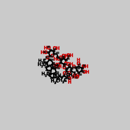 C[C@H](CC[C@@H](O[C@@H]1O[C@H](CO)[C@@H](O[C@@H]2C[C@H](CO)[C@@H](O)[C@H](O)[C@H]2O)[C@H](O)[C@H]1O[C@@H]1O[C@H](CO)[C@@H](O)[C@H](O)[C@H]1O)C(C)(C)O)C1CC[C@@]2(C)C3CC=C4C(CC[C@H](O[C@@H]5O[C@H](CCO)[C@@H](O)[C@H](O)[C@H]5O)C4(C)C)[C@]3(C)[C@H](O)C[C@]12C